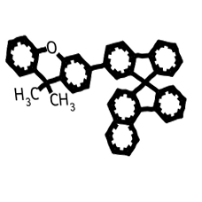 CC1(C)c2ccccc2Oc2cc(-c3ccc4c(c3)C3(c5ccccc5-4)c4ccccc4-c4c3ccc3ccccc43)ccc21